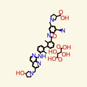 Cc1c(Nc2nccc3cc(CN4CC[C@@H](O)C4)cnc23)cccc1-c1cccc(-c2nc3cc(CN4CCC(C(=O)O)C4)cc(C#N)c3o2)c1C.O=C(O)[C@H](O)[C@@H](O)C(=O)O